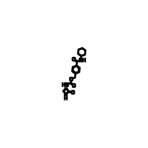 O=C(N[C@H]1CNC1=O)OCc1ccc(C(=O)NC2CCCCC2)cc1